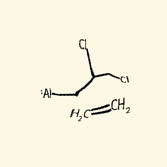 C=C.[Al][CH2]C(Cl)Cl